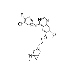 COc1cc2ncnc(Nc3ccc(F)c(Cl)c3)c2cc1OCCCN1CC2CC2(N(C)C)C1